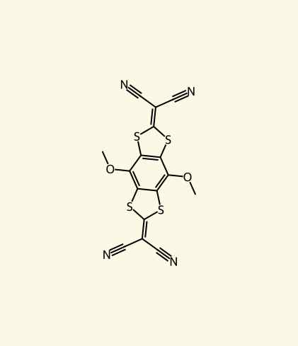 COc1c2c(c(OC)c3c1SC(=C(C#N)C#N)S3)SC(=C(C#N)C#N)S2